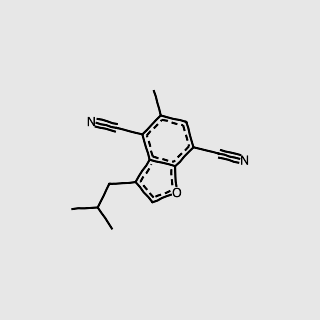 Cc1cc(C#N)c2occ(CC(C)C)c2c1C#N